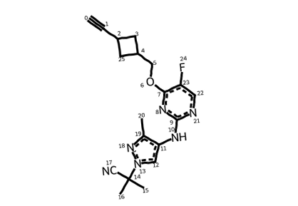 C#CC1CC(COc2nc(Nc3cn(C(C)(C)C#N)nc3C)ncc2F)C1